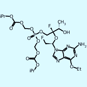 CCOc1nc(N)nc2c1ncn2[C@@H](CF)O[C@](F)(COP(=O)(OCOC(=O)OC(C)C)OCOC(=O)OC(C)C)[C@H](C)O